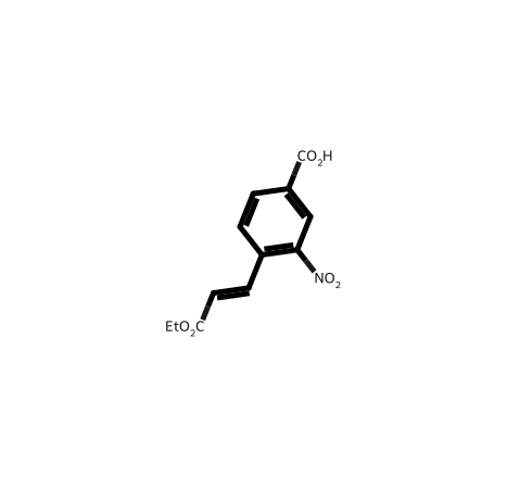 CCOC(=O)C=Cc1ccc(C(=O)O)cc1[N+](=O)[O-]